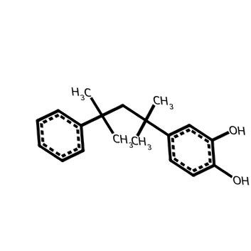 CC(C)(CC(C)(C)c1ccc(O)c(O)c1)c1ccccc1